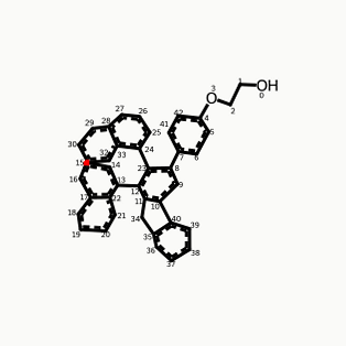 OCCOc1ccc(-c2cc3c(c(-c4cccc5ccccc45)c2-c2cccc4ccccc24)Cc2ccccc2-3)cc1